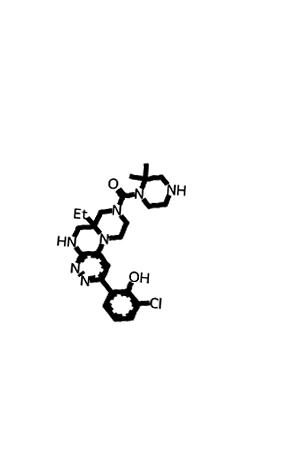 CCC12CNc3nnc(-c4cccc(Cl)c4O)cc3N1CCN(C(=O)N1CCNCC1(C)C)C2